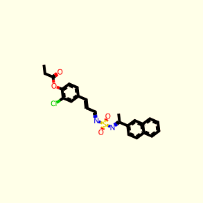 CCC(=O)Oc1ccc(C=CC=NS(=O)(=O)N=C(C)c2ccc3ccccc3c2)cc1Cl